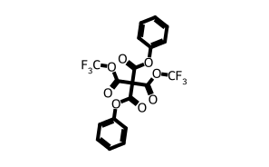 O=C(Oc1ccccc1)C(C(=O)Oc1ccccc1)(C(=O)OC(F)(F)F)C(=O)OC(F)(F)F